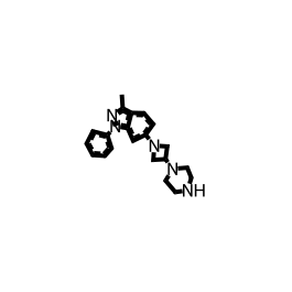 Cc1nn(-c2ccccc2)c2cc(N3CC(N4CCNCC4)C3)ccc12